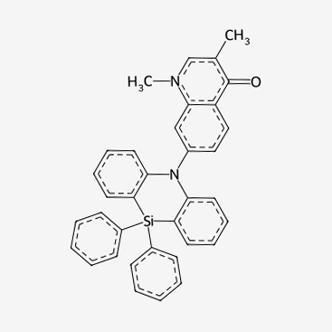 Cc1cn(C)c2cc(N3c4ccccc4[Si](c4ccccc4)(c4ccccc4)c4ccccc43)ccc2c1=O